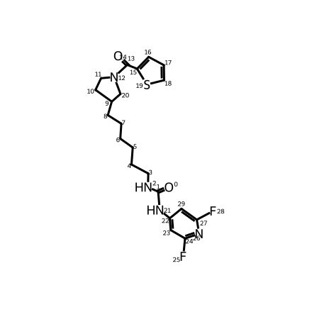 O=C(NCCCCCCC1CCN(C(=O)c2cccs2)C1)Nc1cc(F)nc(F)c1